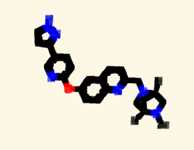 CC(=O)N1C[C@@H]2C[C@H]1CN2Cc1ccc2cc(Oc3ccc(-c4cc[nH]n4)cn3)ccc2n1